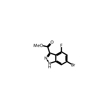 COC(=O)c1n[nH]c2cc(Br)cc(F)c12